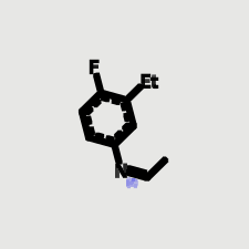 C/C=N\c1ccc(F)c(CC)c1